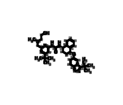 CN(CCO)Cc1nc(NC(=O)N[C@H]2CC[C@@H](Oc3ccc4nnc(C(C)(C)C)n4c3)c3ccccc32)cc(C(C)(C)C)n1